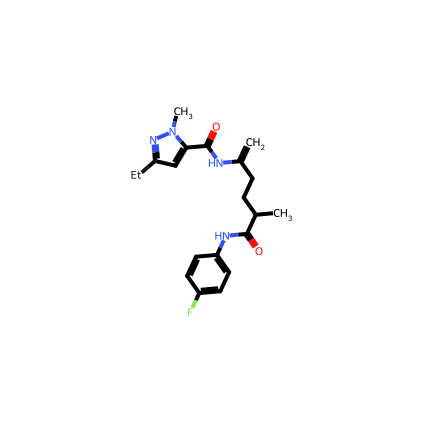 C=C(CCC(C)C(=O)Nc1ccc(F)cc1)NC(=O)c1cc(CC)nn1C